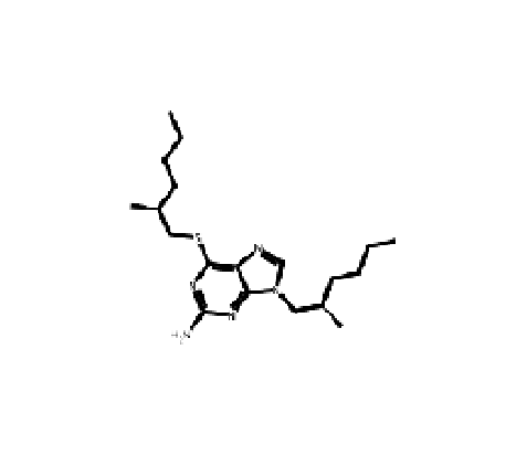 CCCC[C@@H](C)Cn1cnc2c(SC[C@@H](C)CCCC)nc(N)nc21